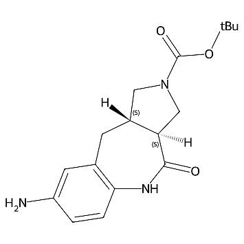 CC(C)(C)OC(=O)N1C[C@H]2Cc3cc(N)ccc3NC(=O)[C@@H]2C1